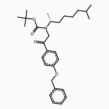 CC(C)CCCC[C@@H](C)N(CC(=O)c1ccc(OCc2ccccc2)cc1)C(=O)OC(C)(C)C